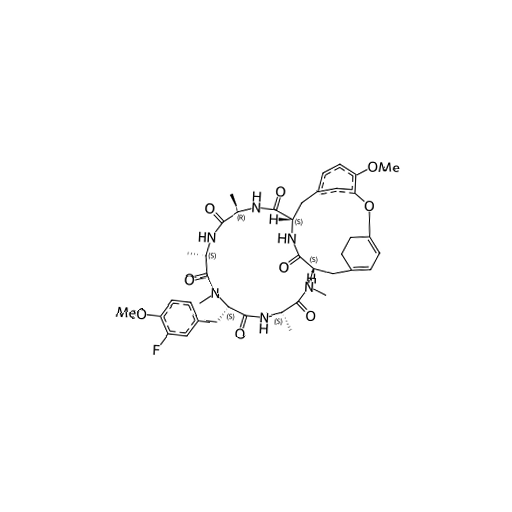 COc1ccc(C[C@H]2C(=O)N[C@@H](C)C(=O)N(C)[C@H]3CC4=CC=C(CC4)Oc4cc(ccc4OC)C[C@H](NC3=O)C(=O)N[C@H](C)C(=O)N[C@@H](C)C(=O)N2C)cc1F